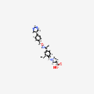 CCc1cc(C(C)=NOCc2ccc(-c3cncnc3)cc2)ccc1CN1CCC(C(=O)O)C1